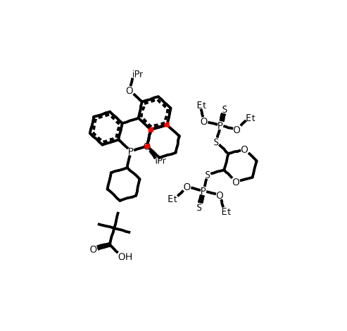 CC(C)(C)C(=O)O.CC(C)Oc1cccc(OC(C)C)c1-c1ccccc1P(C1CCCCC1)C1CCCCC1.CCOP(=S)(OCC)SC1OCCOC1SP(=S)(OCC)OCC